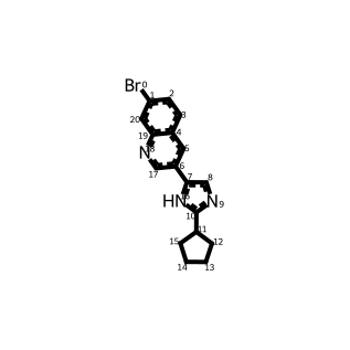 Brc1ccc2cc(-c3cnc(C4CCCC4)[nH]3)cnc2c1